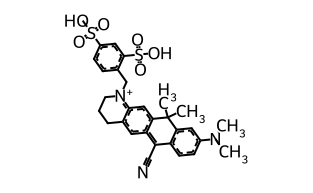 CN(C)c1ccc2c(c1)C(C)(C)c1cc3c(cc1=C2C#N)CCC[N+]=3Cc1ccc(S(=O)(=O)O)cc1S(=O)(=O)O